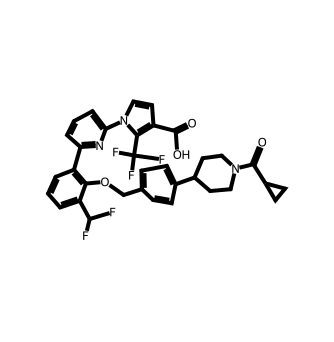 O=C(O)c1ccn(-c2cccc(-c3cccc(C(F)F)c3OCc3ccc(C4CCN(C(=O)C5CC5)CC4)cc3)n2)c1C(F)(F)F